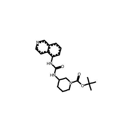 CC(C)(C)OC(=O)N1CCCC(NC(=O)Nc2cccc3cnccc23)C1